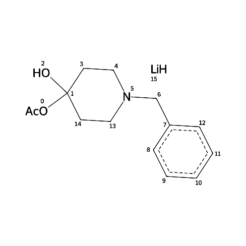 CC(=O)OC1(O)CCN(Cc2ccccc2)CC1.[LiH]